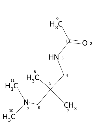 CC(=O)NCC(C)(C)CN(C)C